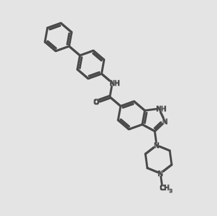 CN1CCN(c2n[nH]c3cc(C(=O)Nc4ccc(-c5ccccc5)cc4)ccc23)CC1